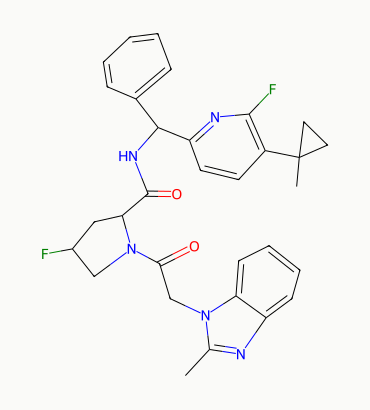 Cc1nc2ccccc2n1CC(=O)N1CC(F)CC1C(=O)NC(c1ccccc1)c1ccc(C2(C)CC2)c(F)n1